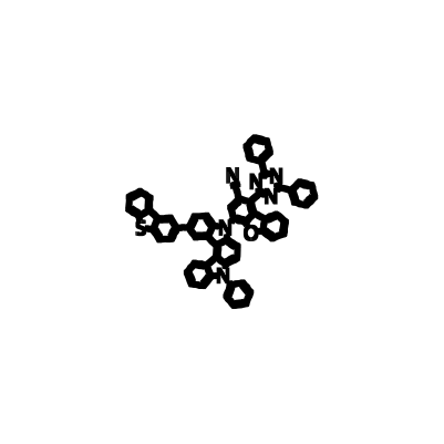 N#Cc1cc(-n2c3ccc(-c4ccc5sc6ccccc6c5c4)cc3c3c4c5ccccc5n(-c5ccccc5)c4ccc32)c2oc3ccccc3c2c1-c1nc(-c2ccccc2)nc(-c2ccccc2)n1